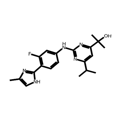 Cc1c[nH]c(-c2ccc(Nc3nc(C(C)C)cc(C(C)(C)O)n3)cc2F)n1